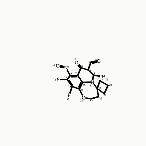 CC1C(C=O)C(=O)c2c(N=O)c(F)c(F)c3c2N1C1(CCC1)CCO3